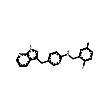 Fc1ccc(F)c(CNc2ccc(Cc3c[nH]c4ncccc34)cn2)c1